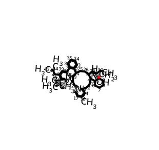 C=C(O)NC1(C2CCCCC2)CCc2cc(C)cc[n+]2CC(=C)C2C(CCC1C=CCC)c1ccccc1-c1cc(CC(C)C)c([Si](C)(C)C)c[n+]12